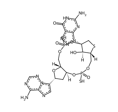 Nc1nc2c(nnn2[C@@]23CS[C@H](COP(=O)(S)O[C@H]4C[C@H](c5cnc6c(N)ncnn56)O[C@@H]4COP(=O)(S)O2)[C@H]3O)c(=O)[nH]1